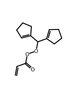 C=CC(=O)OOC(C1=CCCC1)C1=CCCC1